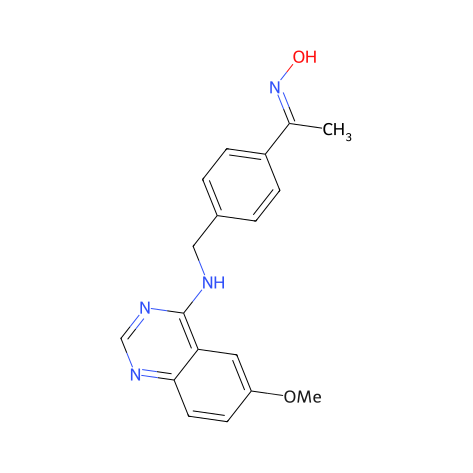 COc1ccc2ncnc(NCc3ccc(/C(C)=N/O)cc3)c2c1